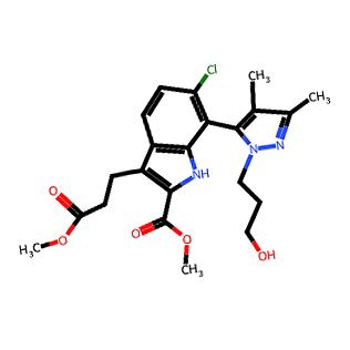 COC(=O)CCc1c(C(=O)OC)[nH]c2c(-c3c(C)c(C)nn3CCCO)c(Cl)ccc12